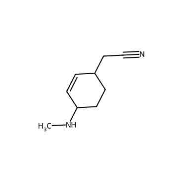 CNC1C=CC(CC#N)CC1